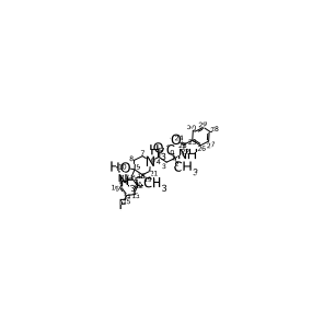 CC(C)(CC(=O)N1CCC(O)(c2ccc(F)cn2)C(C)(C)C1)NC(=O)c1ccccc1